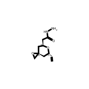 C=C[C@@H]1C[C@]2(CO2)C[C@@H](CC(=O)NN)O1